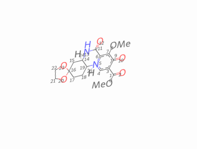 COC(=O)c1cn2c(c(OC)c1=O)C(=O)N[C@@H]1CC3(CC[C@@H]12)OCCO3